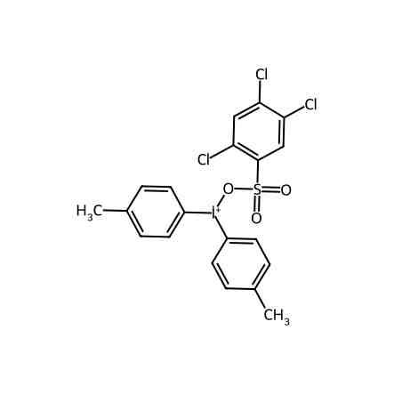 Cc1ccc([I+](OS(=O)(=O)c2cc(Cl)c(Cl)cc2Cl)c2ccc(C)cc2)cc1